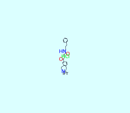 CC(C)N1CCc2ccc(C(=O)CCC(=O)NCCCc3ccccc3)cc2CC1.Cl